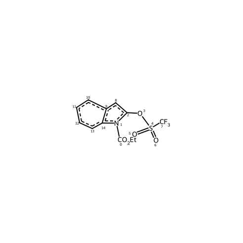 CCOC(=O)n1c(OS(=O)(=O)C(F)(F)F)cc2ccccc21